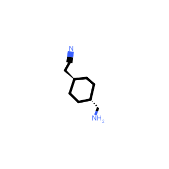 N#CC[C@H]1CC[C@H](CN)CC1